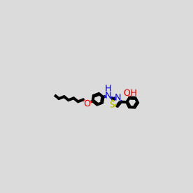 CCCCCCCOc1ccc(Nc2nc(-c3ccccc3O)cs2)cc1